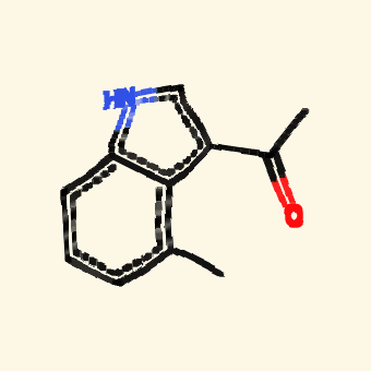 CC(=O)c1c[nH]c2cccc(C)c12